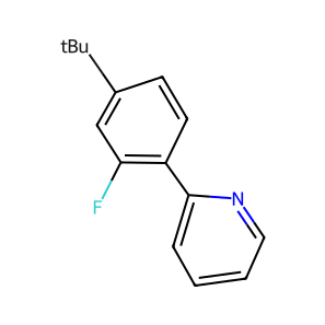 CC(C)(C)c1ccc(-c2ccccn2)c(F)c1